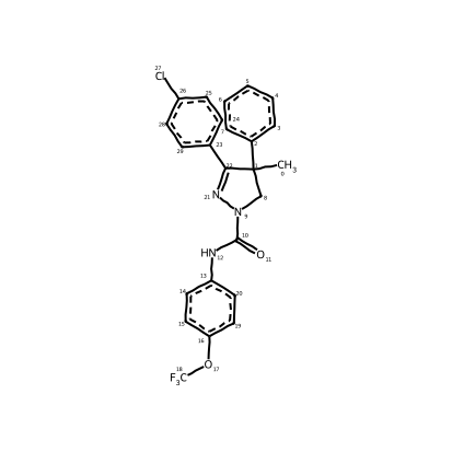 CC1(c2ccccc2)CN(C(=O)Nc2ccc(OC(F)(F)F)cc2)N=C1c1ccc(Cl)cc1